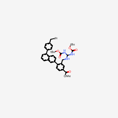 COC(=O)c1ccc(-c2ccc3c(-c4ccc(CC(C)C)cc4)cccc3c2)c(CNC(NC(=O)OC(C)(C)C)NC(=O)OC(C)(C)C)c1